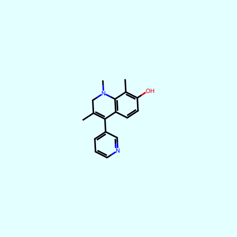 CC1=C(c2cccnc2)c2ccc(O)c(C)c2N(C)C1